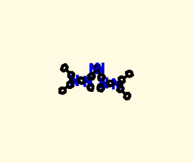 c1ccc(-c2ccc3c(c2)c2cc(-c4ccccc4)ccc2n3-c2ccc(N(c3ccccc3)c3ccc(-c4nccnc4-c4ccc(N(c5ccccc5)c5ccc(-n6c7ccc(-c8ccccc8)cc7c7cc(-c8ccccc8)ccc76)cc5)cc4)cc3)cc2)cc1